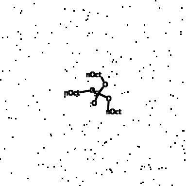 CCCCCCCCO[Si]([O])(OCCCCCCCC)OCCCCCCCC